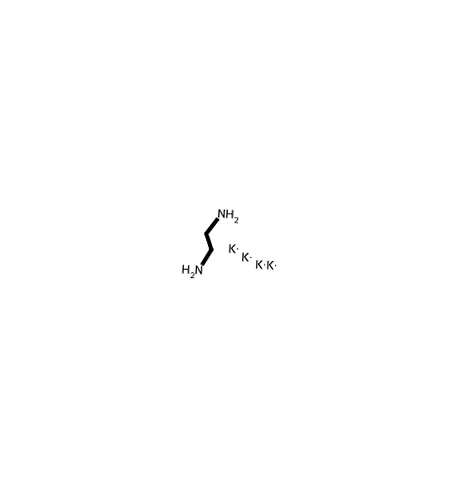 NCCN.[K].[K].[K].[K]